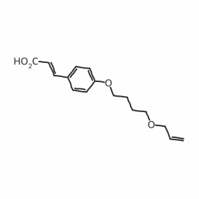 C=CCOCCCCOc1ccc(C=CC(=O)O)cc1